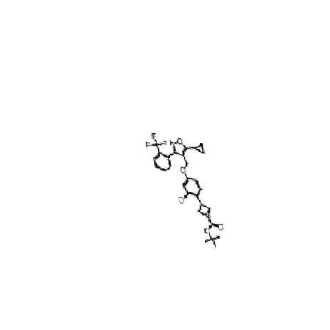 CC(C)(C)OC(=O)N1CC(c2ccc(OCc3c(-c4ccccc4C(F)(F)F)noc3C3CC3)cc2Cl)C1